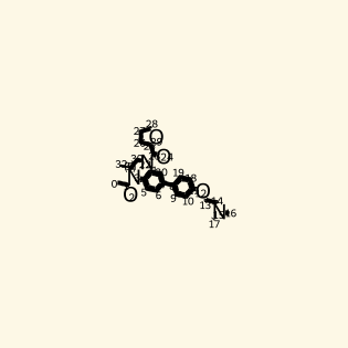 CC(=O)N1c2ccc(-c3ccc(OCCN(C)C)cc3)cc2N(C(=O)C2CCCO2)C[C@@H]1C